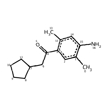 Cc1cc(C(=O)CC2CCCC2)c(C)cc1N